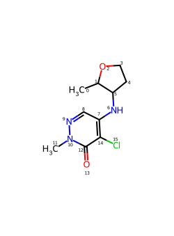 CC1OCCC1Nc1cnn(C)c(=O)c1Cl